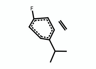 C=C.CC(C)c1ccc(F)cc1